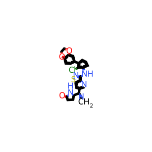 C=NC(c1cnc2c(Nc3cccc(-c4ccc5c(c4)OCCO5)c3Cl)nsc2c1)C1CCC(=O)N1